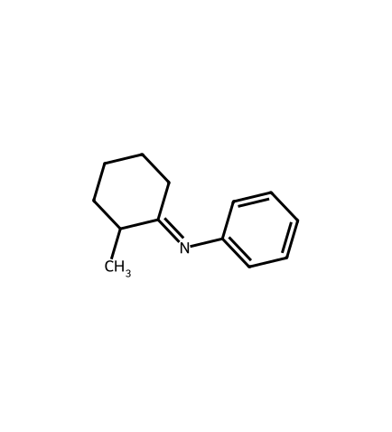 CC1CCCCC1=Nc1ccccc1